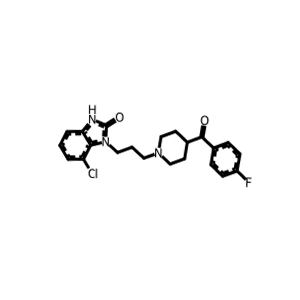 O=C(c1ccc(F)cc1)C1CCN(CCCn2c(=O)[nH]c3cccc(Cl)c32)CC1